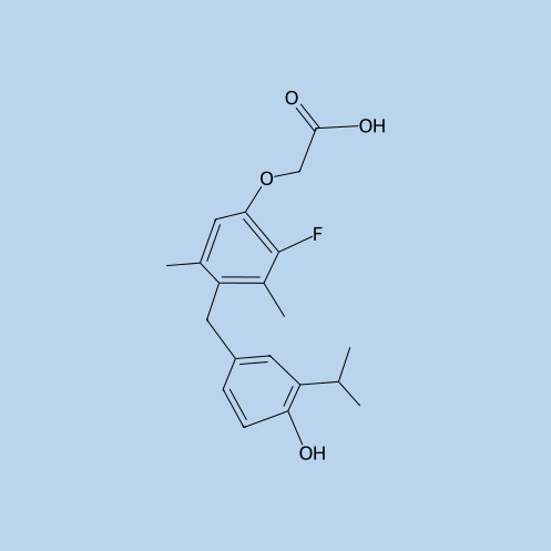 Cc1cc(OCC(=O)O)c(F)c(C)c1Cc1ccc(O)c(C(C)C)c1